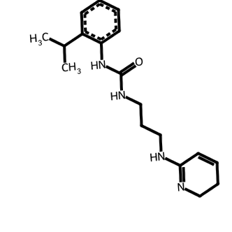 CC(C)c1ccccc1NC(=O)NCCCNC1=NCCC=C1